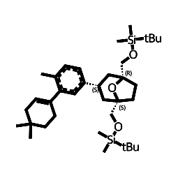 Cc1ccc([C@@H]2C[C@@]3(CO[Si](C)(C)C(C)(C)C)CC[C@@](CO[Si](C)(C)C(C)(C)C)(C2)O3)cc1C1=CCC(C)(C)CC1